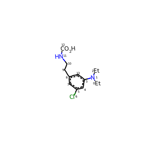 CCN(CC)c1cc(Cl)cc(CCNC(=O)O)c1